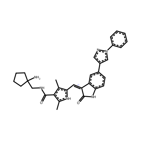 Cc1[nH]c(/C=C2\C(=O)Nc3ccc(-c4cnn(-c5ccccc5)c4)cc32)c(C)c1C(=O)NCC1(N)CCCC1